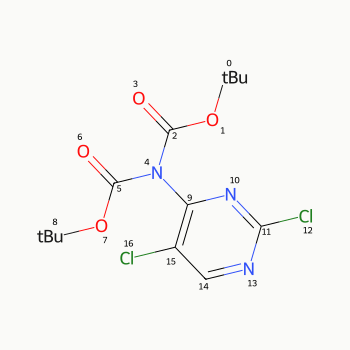 CC(C)(C)OC(=O)N(C(=O)OC(C)(C)C)c1nc(Cl)ncc1Cl